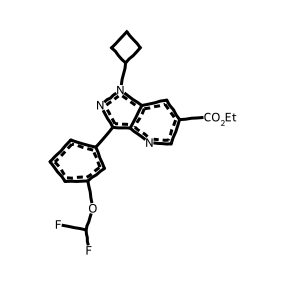 CCOC(=O)c1cnc2c(-c3cccc(OC(F)F)c3)nn(C3CCC3)c2c1